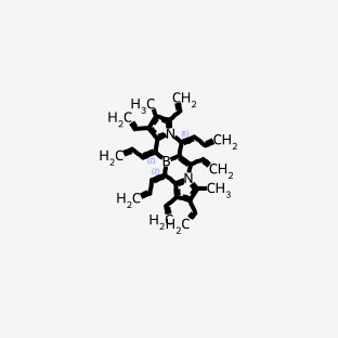 C=C/C=C1/B2C(=C(C=C)n3c(C)c(C=C)c(C=C)c31)/C(=C\C=C)n1c(C=C)c(C)c(C=C)c1/C2=C\C=C